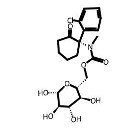 CN(C(=O)OC[C@H]1O[C@@H](O)[C@H](O)[C@@H](O)[C@@H]1O)[C@]1(c2ccccc2Cl)CCCCC1=O